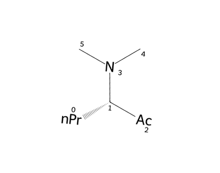 CCC[C@@H](C(C)=O)N(C)C